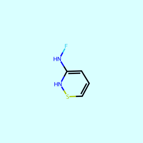 FNC1=CC=CSN1